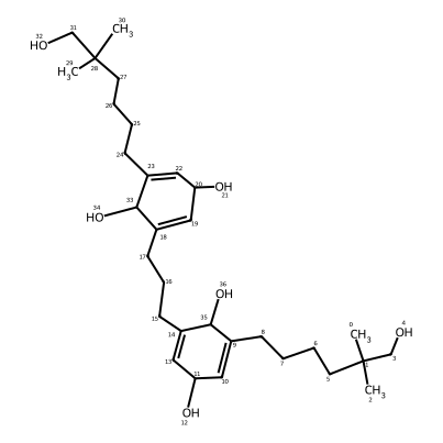 CC(C)(CO)CCCCC1=CC(O)C=C(CCCC2=CC(O)C=C(CCCCC(C)(C)CO)C2O)C1O